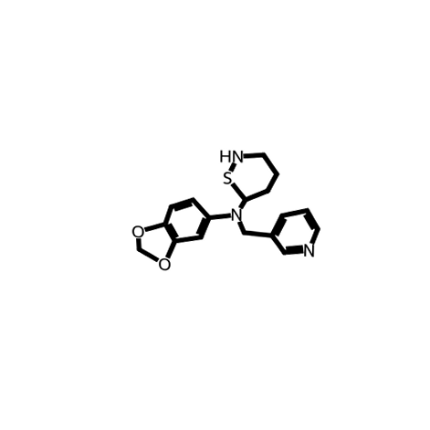 c1cncc(CN(c2ccc3c(c2)OCO3)C2CCCNS2)c1